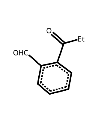 CCC(=O)c1ccccc1C=O